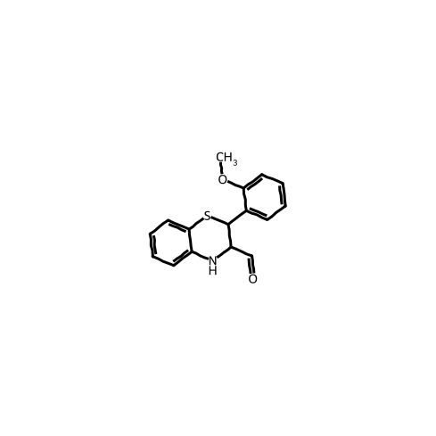 COc1ccccc1C1Sc2ccccc2NC1C=O